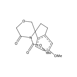 COc1ccc2c(c1)CCC21COCC(=O)N1C(=O)OC(C)(C)C